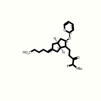 CCCCC(F)C(=O)CCC1[C@H]2C/C(=C/CCCC(=O)O)C[C@H]2C[C@H]1O[C@@H]1C=CC=CO1